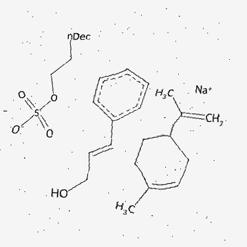 C=C(C)C1CC=C(C)CC1.CCCCCCCCCCCCOS(=O)(=O)[O-].OCC=Cc1ccccc1.[Na+]